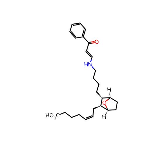 O=C(O)CCC/C=C\C[C@H]1[C@@H](CCCCNC=CC(=O)c2ccccc2)[C@H]2CC[C@@H]1O2